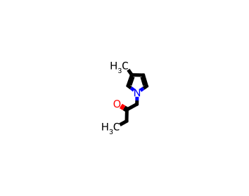 CCC(=O)Cn1ccc(C)c1